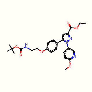 CCOC(=O)c1cc(-c2ccc(OCCNC(=O)OC(C)(C)C)cc2)n(-c2ccc(OC)nc2)n1